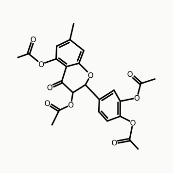 CC(=O)Oc1ccc(C2Oc3cc(C)cc(OC(C)=O)c3C(=O)C2OC(C)=O)cc1OC(C)=O